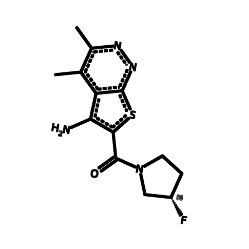 Cc1nnc2sc(C(=O)N3CC[C@H](F)C3)c(N)c2c1C